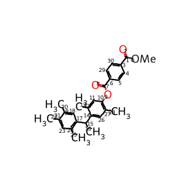 COC(=O)c1ccc(C(=O)Oc2cc(C)c(C(C)c3cc(C)c(C)cc3C)cc2C)cc1